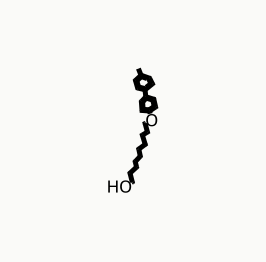 Cc1ccc(-c2ccc(OCCCCCCCCCCO)cc2)cc1